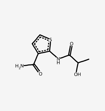 CC(O)C(=O)Nc1sccc1C(N)=O